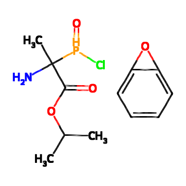 CC(C)OC(=O)C(C)(N)[PH](=O)Cl.c1ccc2c(c1)O2